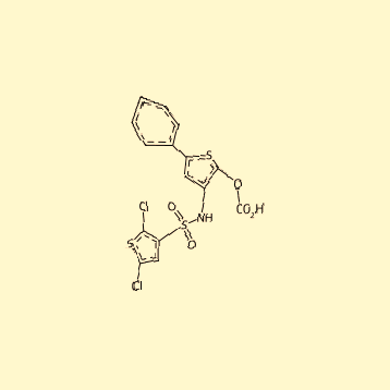 O=C(O)Oc1sc(-c2ccccc2)cc1NS(=O)(=O)c1cc(Cl)sc1Cl